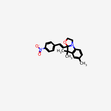 Cc1ccc2c(c1)C(C)(C)C1(C=Cc3ccc([N+](=O)[O-])cc3)OCCN21